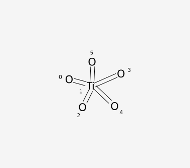 [O]=[Ti](=[O])(=[O])(=[O])=[O]